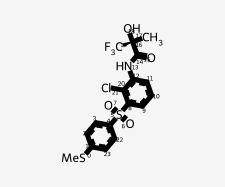 CSc1ccc(S(=O)(=O)c2cccc(NC(=O)[C@@](C)(O)C(F)(F)F)c2Cl)cc1